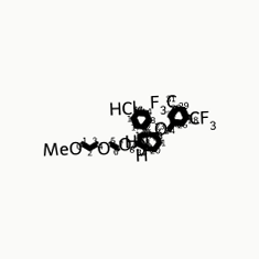 COCCCOCCOC[C@@H]1C[C@]2(c3ccccc3)N[C@H]1CC[C@H]2OCc1cc(C(F)(F)F)cc(C(F)(F)F)c1.Cl